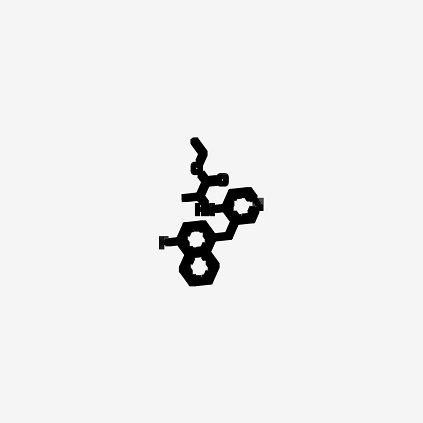 CCOC(=O)C(C)Nc1ccncc1Cc1ccc(F)c2ccccc12